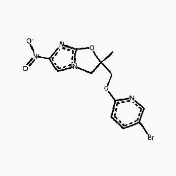 CC1(COc2ccc(Br)cn2)Cn2cc([N+](=O)[O-])nc2O1